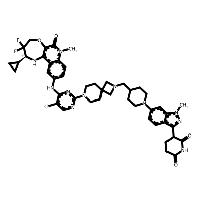 Cn1nc(C2CCC(=O)NC2=O)c2ccc(N3CCC(CN4CC5(CCN(c6ncc(Cl)c(Nc7ccc8c(c7)c7c(c(=O)n8C)OCC(F)(F)[C@H](C8CC8)N7)n6)CC5)C4)CC3)cc21